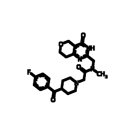 CN(Cc1nc2c(c(=O)[nH]1)COCC2)C(=O)CN1CCC(C(=O)c2ccc(F)cc2)CC1